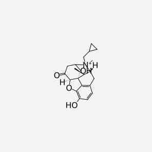 C[C@@]1(O)[C@H]2Cc3ccc(O)c4c3[C@]13CC(CC(=O)[C@@H]3O4)[N+]2(C)CC1CC1